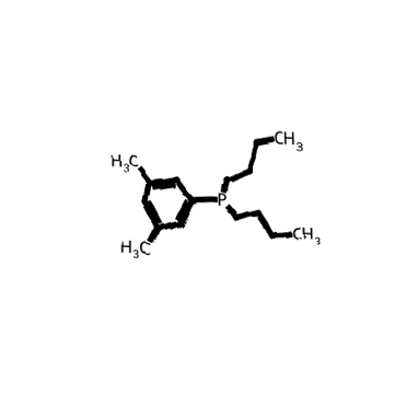 CCCCP(CCCC)c1cc(C)cc(C)c1